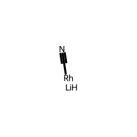 N#[C][Rh].[LiH]